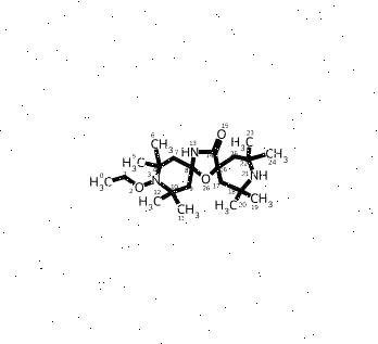 CCON1C(C)(C)CC2(CC1(C)C)NC(=O)C1(CC(C)(C)NC(C)(C)C1)O2